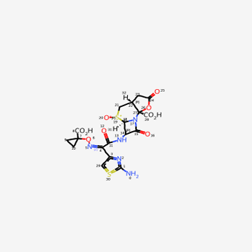 Nc1nc(/C(=N/OC2(C(=O)O)CC2)C(=O)N[C@@H]2C(=O)N3[C@@H]2[S@@+]([O-])C[C@@H]2CC(=O)O[C@@]23C(=O)O)cs1